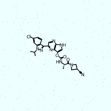 CC(C)n1nc(-c2cnc3[nH]cc(OC(=O)N[C@H](C)C(=O)N4CC(C#N)C4)c3n2)c2ccc(Cl)cc21